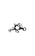 O=c1scc(F)s1